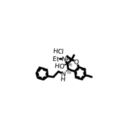 CCN[C@@]1(O)[C@@H](NCCc2ccccc2)c2ccc(C)cc2OC1(C)C.Cl